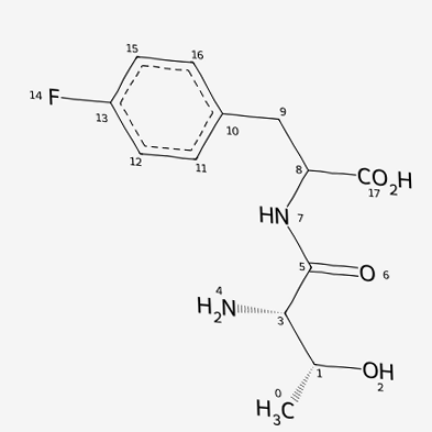 C[C@@H](O)[C@H](N)C(=O)NC(Cc1ccc(F)cc1)C(=O)O